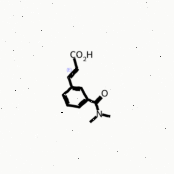 CN(C)C(=O)c1cccc(/C=C/C(=O)O)c1